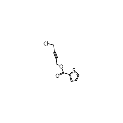 O=C(OCC#CCCl)c1cccs1